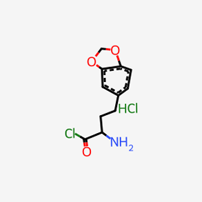 Cl.NC(CCc1ccc2c(c1)OCO2)C(=O)Cl